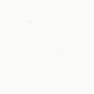 N#Cc1ccc(N2C(=O)OCC2CO)cc1C(F)(F)F